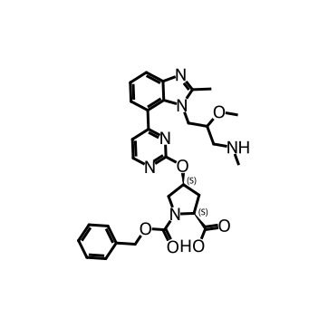 CNCC(Cn1c(C)nc2cccc(-c3ccnc(O[C@H]4C[C@@H](C(=O)O)N(C(=O)OCc5ccccc5)C4)n3)c21)OC